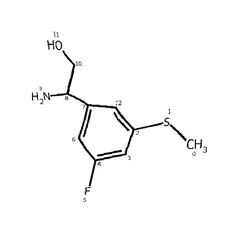 CSc1cc(F)cc(C(N)CO)c1